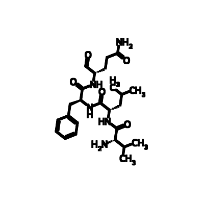 CC(C)C[C@H](NC(=O)[C@@H](N)C(C)C)C(=O)N[C@@H](Cc1ccccc1)C(=O)N[C@H](C=O)CCC(N)=O